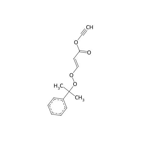 C#COC(=O)C=COOC(C)(C)c1ccccc1